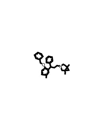 Cc1ccc(OCc2ccccc2)c(C(CCN2CC3(C)CC3(C)C2)c2ccccc2)c1